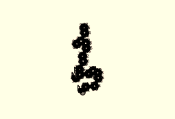 c1cc(-c2ccc3ncoc3c2)cc(-c2ccc3ccc4ccc5cc(-c6cc7cccnc7c7ncc(-c8ccc9cc(-c%10ccc%11ccc%12c(-c%13ccc%14ccccc%14c%13)cc%13ccccc%13c%12c%11c%10)ccc9c8)cc67)ccc5c4c3c2)c1